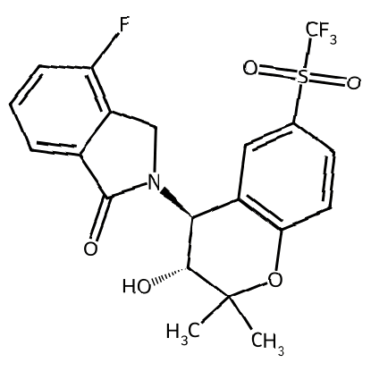 CC1(C)Oc2ccc(S(=O)(=O)C(F)(F)F)cc2[C@H](N2Cc3c(F)cccc3C2=O)[C@H]1O